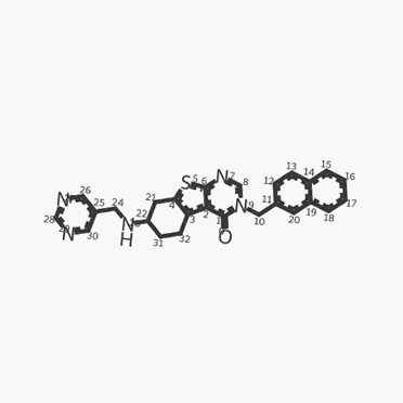 O=c1c2c3c(sc2ncn1Cc1ccc2ccccc2c1)CC(NCc1cncnc1)CC3